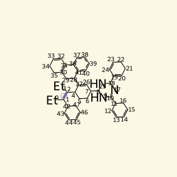 CC/C(=C(\CC)C1CCC(C2NC(C3C=CC=CC3)=NC(C3=CCCC=C3)N2)C=C1C1CC2=C(C=CCC2)c2ccccc21)C1C=CC=CC1